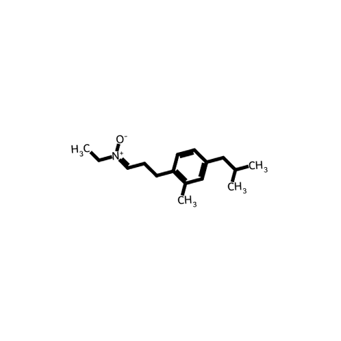 CC[N+]([O-])=CCCc1ccc(CC(C)C)cc1C